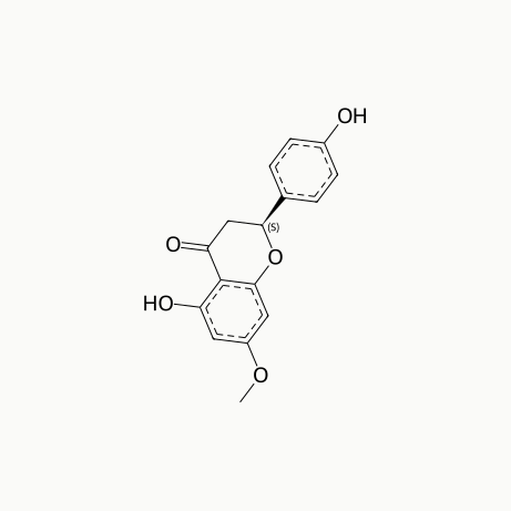 COc1cc(O)c2c(c1)O[C@H](c1ccc(O)cc1)CC2=O